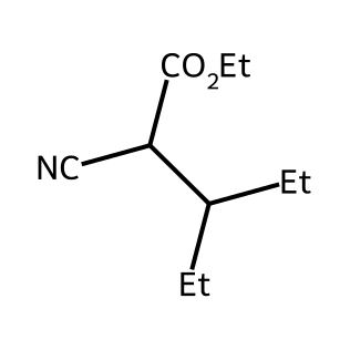 CCOC(=O)C(C#N)C(CC)CC